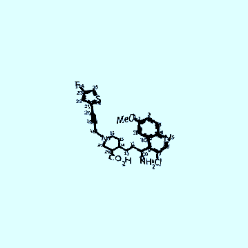 COc1ccc2ncc(Cl)c(C(N)CCC3CCN(CC#Cc4cc(F)cs4)CC3C(=O)O)c2c1